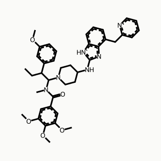 CCC(c1cccc(OC)c1)C(N1CCC(Nc2nc3c(Cc4ccccn4)cccc3[nH]2)CC1)N(C)C(=O)c1cc(OC)c(OC)c(OC)c1